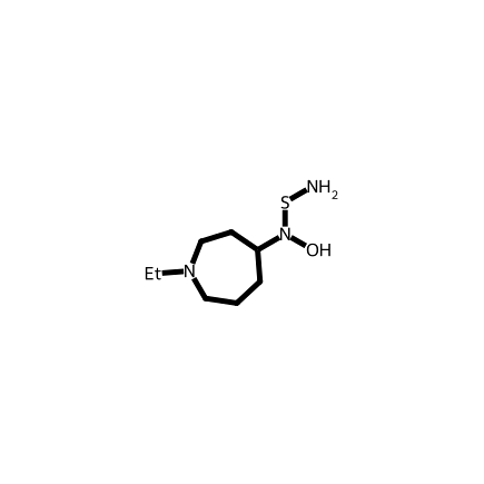 CCN1CCCC(N(O)SN)CC1